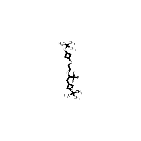 CC(C)(C)OC1CC(OCCOC(CC2CN(C(C)(C)C)C2)C(F)(F)F)C1